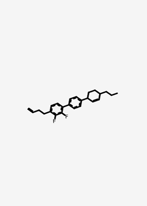 C=CCCc1ccc(-c2ccc(C3C=CC(CCC)CC3)cc2)c(F)c1F